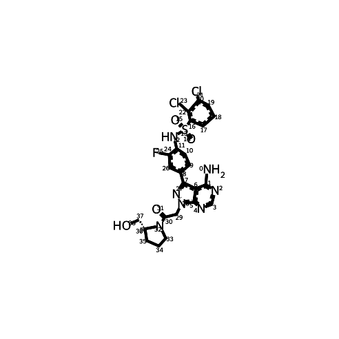 Nc1ncnc2c1c(-c1ccc(NS(=O)(=O)c3cccc(Cl)c3Cl)c(F)c1)nn2CC(=O)N1CCC[C@@H]1CO